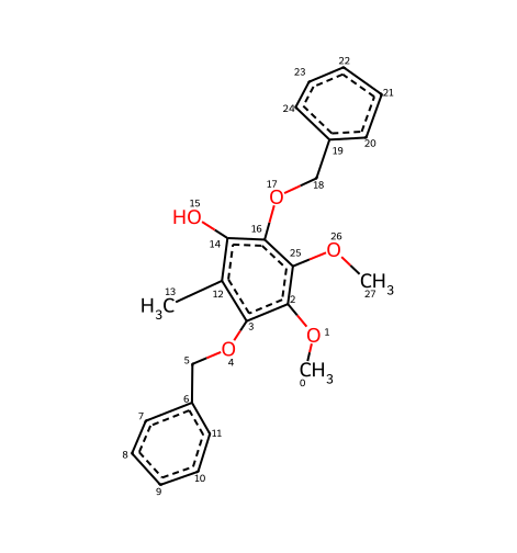 COc1c(OCc2ccccc2)c(C)c(O)c(OCc2ccccc2)c1OC